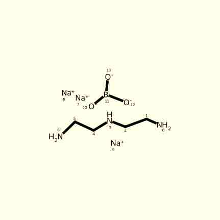 NCCNCCN.[Na+].[Na+].[Na+].[O-]B([O-])[O-]